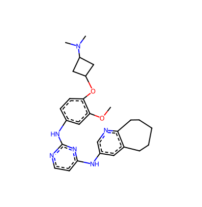 COc1cc(Nc2nccc(Nc3cnc4c(c3)CCCCC4)n2)ccc1OC1CC(N(C)C)C1